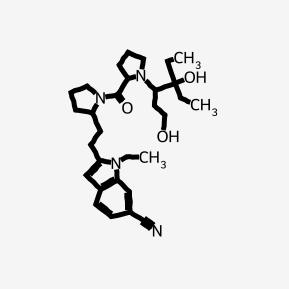 CCn1c(CCC2CCCN2C(=O)C2CCCN2C(CCO)C(O)(CC)CC)cc2ccc(C#N)cc21